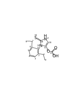 CCc1cccc(CC)c1-n1c(OC(=O)O)c[nH]c1=S